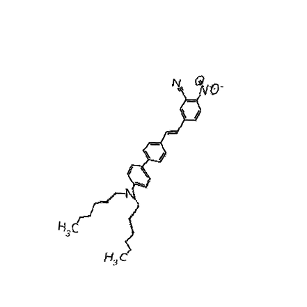 CCCCCCN(CCCCCC)c1ccc(-c2ccc(C=Cc3ccc([N+](=O)[O-])c(C#N)c3)cc2)cc1